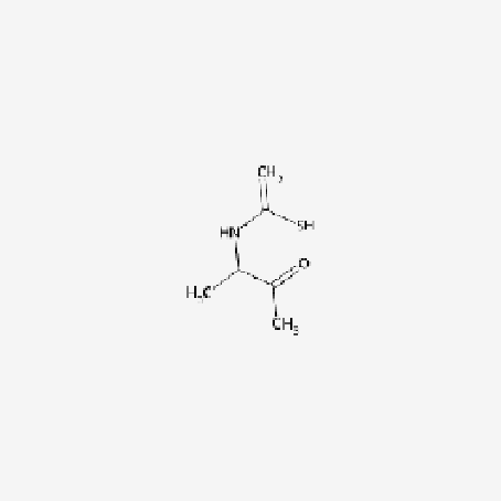 C=C(S)NC(C)C(C)=O